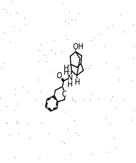 O=C(N[C@H]1[C@@H]2CC3C[C@H]1C[C@](O)(C3)C2)C1CCc2ccccc2C1